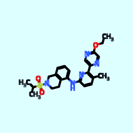 CCOc1cnc(-c2nc(Nc3cccc4c3CCN(S(=O)(=O)C(C)C)C4)ccc2C)cn1